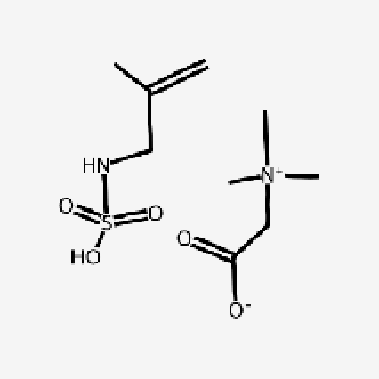 C=C(C)CNS(=O)(=O)O.C[N+](C)(C)CC(=O)[O-]